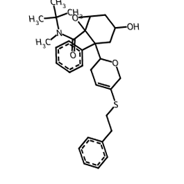 CN(C(=O)C12OC1CC(O)CC2(c1ccccc1)C1CC=C(SCCc2ccccc2)CO1)C(C)(C)C